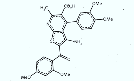 COc1ccc(C(=O)c2sc3nc(C)c(C(=O)O)c(-c4ccc(OC)c(OC)c4)c3c2N)c(OC)c1